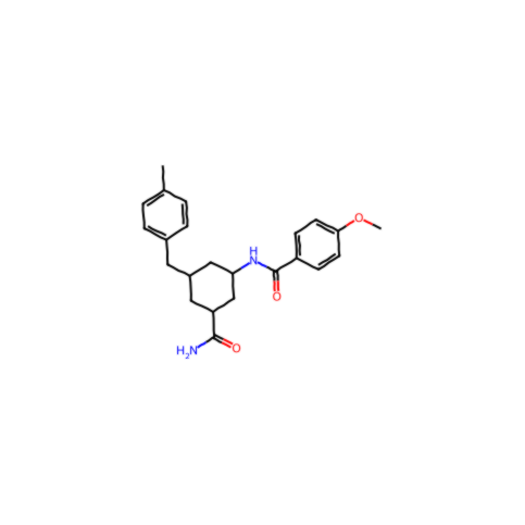 COc1ccc(C(=O)NC2CC(Cc3ccc(C)cc3)CC(C(N)=O)C2)cc1